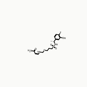 C[C@@H](NS(=O)(=O)CCCOCN/C=C\C(N)=O)c1ccc(F)c(O)c1